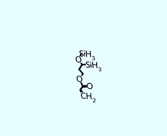 C=CC(=O)OCCC([SiH3])O[SiH3]